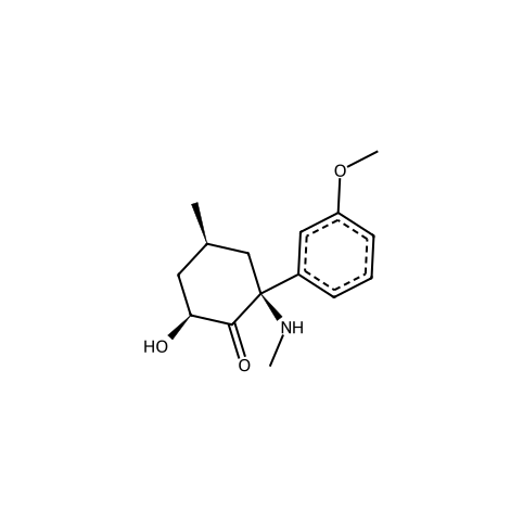 CN[C@]1(c2cccc(OC)c2)C[C@H](C)C[C@H](O)C1=O